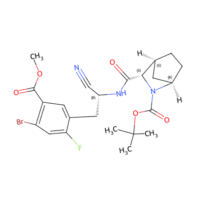 COC(=O)c1cc(C[C@H](C#N)NC(=O)[C@@H]2[C@H]3CC[C@H](C3)N2C(=O)OC(C)(C)C)c(F)cc1Br